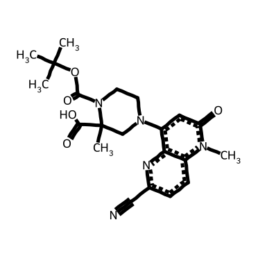 Cn1c(=O)cc(N2CCN(C(=O)OC(C)(C)C)C(C)(C(=O)O)C2)c2nc(C#N)ccc21